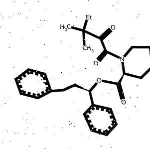 CCC(C)(C)C(=O)C(=O)N1CCCC[C@H]1C(=O)O[C@H](CCc1ccccc1)c1ccccc1